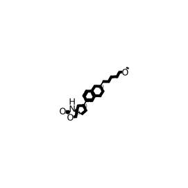 COCCCCC[C@H]1CCc2cc([C@H]3CC[C@]4(COC(=O)N4)C3)ccc2C1